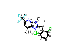 Cc1cc(C(F)(F)F)nc2c1nc(Cc1c(Cl)[c]ccc1Cl)n2C